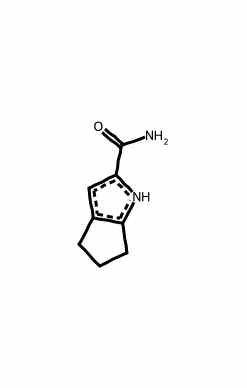 NC(=O)c1cc2c([nH]1)CCC2